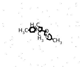 Cc1ccc(-n2c(C)cc(C(=O)CN3CCC(C)CC3)c2C)cc1